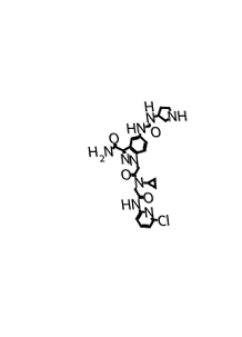 NC(=O)c1nn(CC(=O)N(CC(=O)Nc2cccc(Cl)n2)C2CC2)c2ccc(NC(=O)NC3CCNC3)cc12